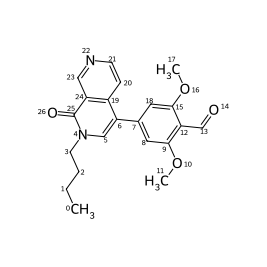 CCCCn1cc(-c2cc(OC)c(C=O)c(OC)c2)c2ccncc2c1=O